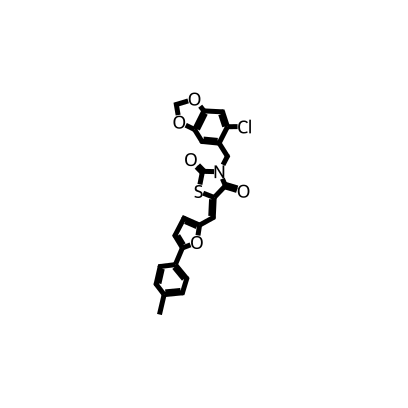 Cc1ccc(-c2ccc(/C=C3\SC(=O)N(Cc4cc5c(cc4Cl)OCO5)C3=O)o2)cc1